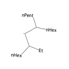 CCCCCCC([CH]C(CCCCC)CCCCCC)CC